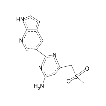 CS(=O)(=O)Cc1cc(N)nc(-c2cnc3[nH]ccc3c2)n1